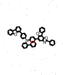 c1ccc(-c2nc3cc(-c4ccc(N(c5ccc(-c6cccc7c6oc6ccccc67)cc5)c5ccccc5-c5ccccc5)cc4)c4oc5ccccc5c4c3o2)cc1